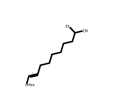 CCCCCC/C=C/CCCCCCC(C#N)CC